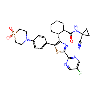 N#CC1(NC(=O)[C@@H]2CCCC[C@H]2c2nc(-c3ncc(F)cn3)sc2-c2ccc(N3CCS(=O)(=O)CC3)cc2)CC1